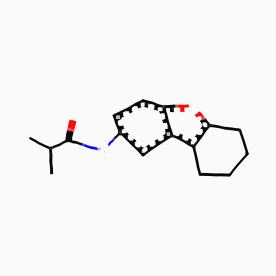 CC(C)C(=O)Nc1ccc2oc3c(c2c1)CCCC3